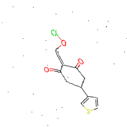 O=C1CC(c2ccsc2)CC(=O)C1=COCl